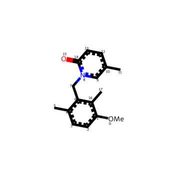 COc1ccc(C)c(Cn2cc(C)ccc2=O)c1C